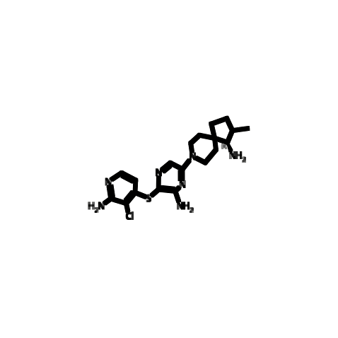 CC1CCC2(CCN(c3cnc(Sc4ccnc(N)c4Cl)c(N)n3)CC2)[C@@H]1N